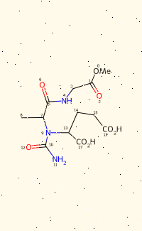 COC(=O)CNC(=O)C(C)N(C(N)=O)C(CCC(=O)O)C(=O)O